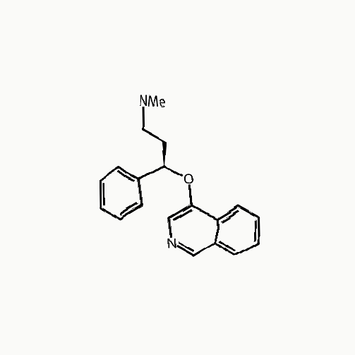 CNCC[C@@H](Oc1cncc2ccccc12)c1ccccc1